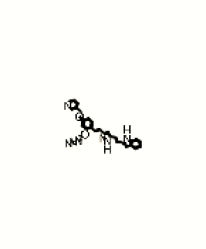 [N-]=[N+]=NCOc1cc(OCc2cccnc2)ccc1/C=C/c1cc(/C=C/c2cc3ccccc3[nH]2)[nH]n1